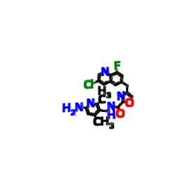 Cc1cc(N)nc(C)c1CNC(=O)c1nc(Cc2cc(F)c3ncc(Cl)cc3c2)co1